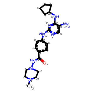 CN1CCN(NC(=O)c2ccc(Nc3ncc(N)c(NC4CCCC4)n3)cc2)CC1